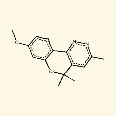 COc1ccc2c(c1)OC(C)(C)c1cc(C)nnc1-2